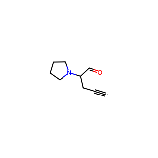 [C]#CCC(C=O)N1CCCC1